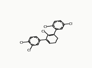 ClC1=C(c2cc(Cl)ccc2Cl)[CH]CC=C1c1ccc(Cl)c(Cl)c1